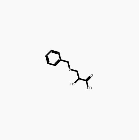 O=C(O)C(S)CSCc1ccccc1